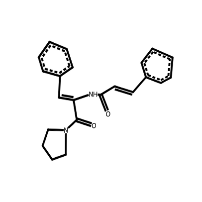 O=C(/C=C/c1ccccc1)N/C(=C\c1ccccc1)C(=O)N1CCCC1